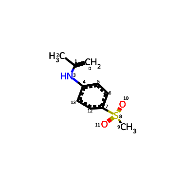 C=C(C)Nc1ccc(S(C)(=O)=O)cc1